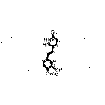 COc1ccc(/C=C/C2CCC(=O)NN2)cc1O